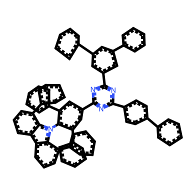 c1ccc(-c2ccc(-c3nc(-c4cc(-c5ccccc5)cc(-c5ccccc5)c4)nc(-c4cc(-c5ccccc5)c(-n5c6c(-c7ccccc7)cccc6c6cccc(-c7ccccc7)c65)c(-c5ccccc5)c4)n3)cc2)cc1